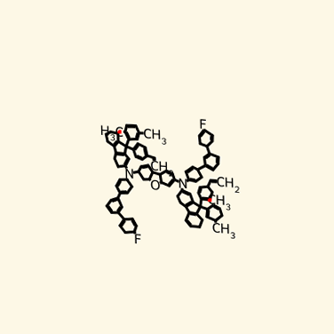 C=Cc1ccc(C2(c3cc(C)ccc3C)C3=C(CCC(N(C4C=CC(c5cccc(C6=CCC(F)C=C6)c5)=CC4)C4C=CC5C(C4)OC4C=C(N(C6=CCC(c7cccc(C8C=CC(F)=CC8)c7)C=C6)C6=CC7=C(CC6)C6=C(CCC=C6)C7(C6=CCC(C=C)C=C6)C6=CC(C)CC=C6C)C=CC45)=C3)C3=C2CCCC3)cc1